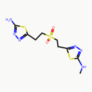 CNc1nnc(CCS(=O)(=O)CCc2nnc(N)s2)s1